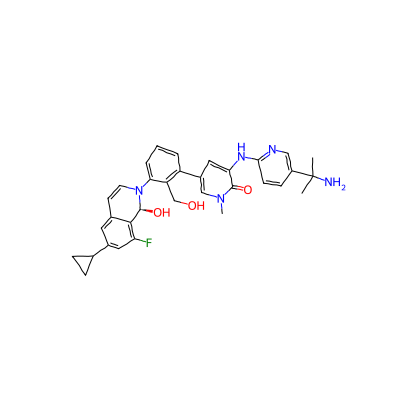 Cn1cc(-c2cccc(N3C=Cc4cc(C5CC5)cc(F)c4[C@@H]3O)c2CO)cc(Nc2ccc(C(C)(C)N)cn2)c1=O